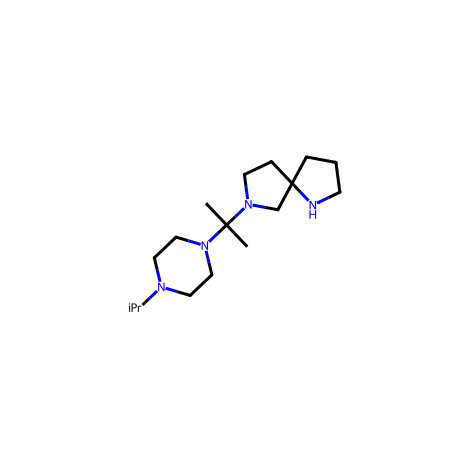 CC(C)N1CCN(C(C)(C)N2CCC3(CCCN3)C2)CC1